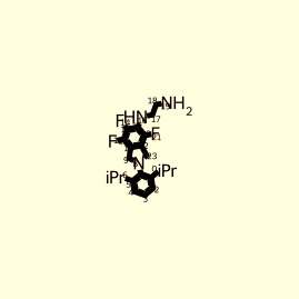 CC(C)c1cccc(C(C)C)c1N1Cc2c(F)c(F)c(NCCN)c(F)c2C1